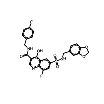 O=C(NCc1ccc(Cl)cc1)c1cnc2c(F)cc(S(=O)(=O)NCc3ccc4c(c3)OCO4)cc2c1O